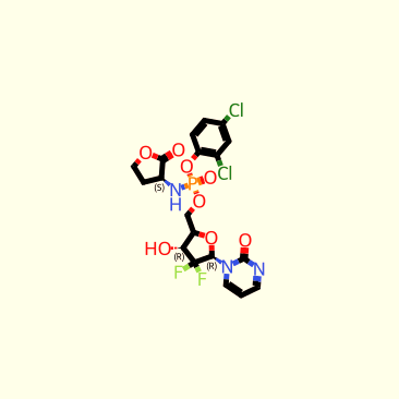 O=C1OCC[C@@H]1NP(=O)(OCC1O[C@@H](n2cccnc2=O)C(F)(F)[C@@H]1O)Oc1ccc(Cl)cc1Cl